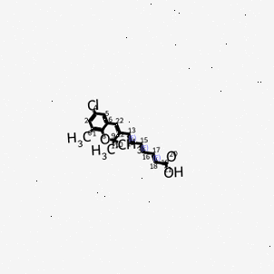 Cc1cc(Cl)cc2c1OC(C)(C)C(/C=C/C=C/C=C/C(=O)O)=C2